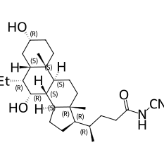 CC[C@H]1[C@@H](O)[C@@H]2[C@H](CC[C@]3(C)[C@@H]([C@H](C)CCC(=O)NC#N)CC[C@@H]23)[C@@]2(C)CC[C@@H](O)C[C@@H]12